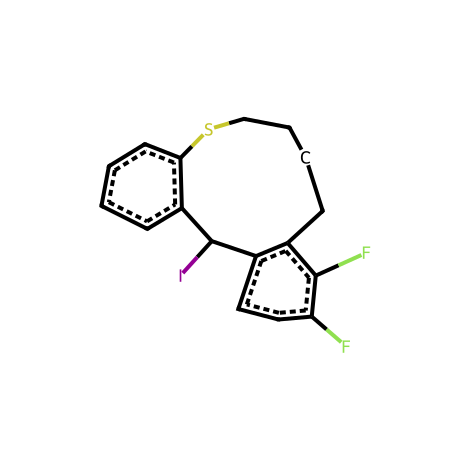 Fc1ccc2c(c1F)CCCCSc1ccccc1C2I